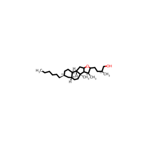 CCCCCC[C@H]1CC[C@@H]2[C@H](CC[C@]3(C)C4C(C[C@@H]23)OC(CC[C@H](C)CO)[C@H]4C)C1